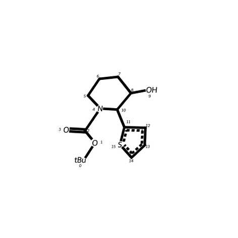 CC(C)(C)OC(=O)N1CCCC(O)C1c1cccs1